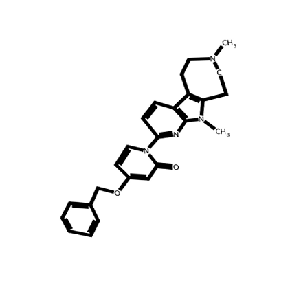 CN1CCc2c(n(C)c3nc(-n4ccc(OCc5ccccc5)cc4=O)ccc23)CC1